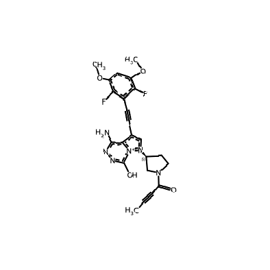 CC#CC(=O)N1CC[C@H](n2cc(C#Cc3c(F)c(OC)cc(OC)c3F)c3c(N)nnc(O)[n+]32)C1